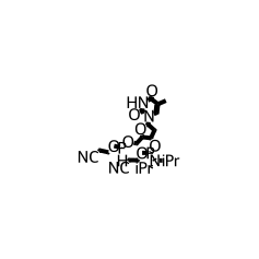 Cc1cn(C2CC(OP(OCCC#N)N(C(C)C)C(C)C)C(COPOCCC#N)O2)c(=O)[nH]c1=O